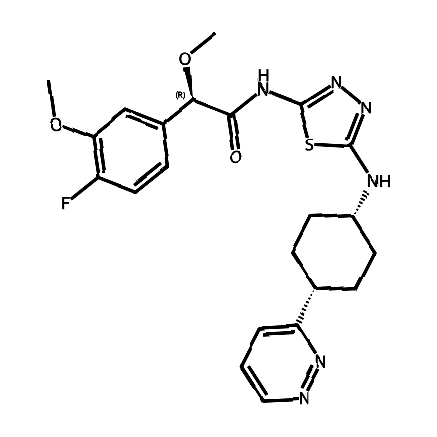 COc1cc([C@@H](OC)C(=O)Nc2nnc(N[C@H]3CC[C@@H](c4cccnn4)CC3)s2)ccc1F